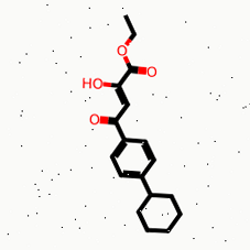 CCOC(=O)/C(O)=C/C(=O)c1ccc(C2CCCCC2)cc1